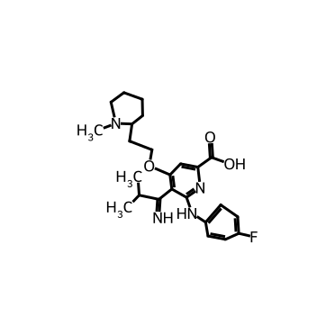 CC(C)C(=N)c1c(OCCC2CCCCN2C)cc(C(=O)O)nc1Nc1ccc(F)cc1